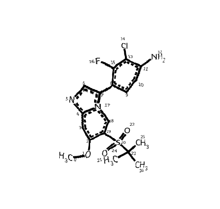 COc1cc2ncc(-c3ccc(N)c(Cl)c3F)n2cc1S(=O)(=O)C(C)(C)C